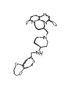 O=c1ccc2ncc(=O)n3c2n1CC3CN1CCC(NCc2cc3c(cn2)OCCO3)CC1